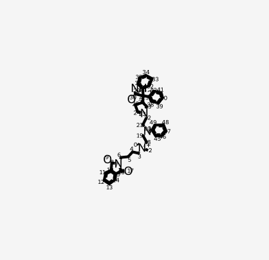 C[N+](C)(CCCCN1C(=O)c2ccccc2C1=O)CCN(CCN1CCC(C(C(N)=O)(c2ccccc2)c2ccccc2)C1)c1ccccc1